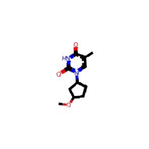 COC1CCC(n2cc(C)c(=O)[nH]c2=O)C1